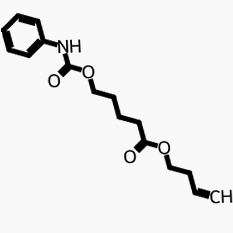 C=CCCOC(=O)CCCCOC(=O)Nc1ccccc1